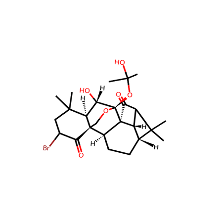 CC(C)(O)O[C@@]12OC[C@]3(C(=O)C(Br)CC(C)(C)[C@H]3[C@@H]1O)[C@@H]1CC[C@@H]3[C@H]4C(C(=O)[C@]412)C3(C)C